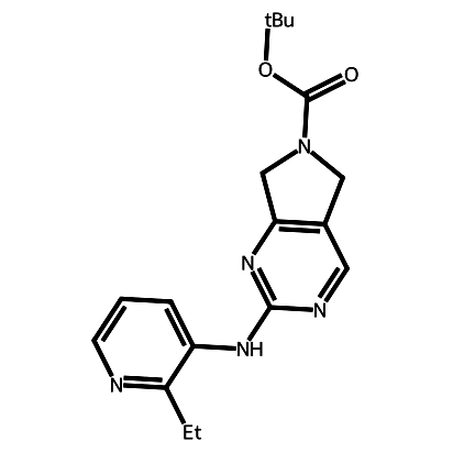 CCc1ncccc1Nc1ncc2c(n1)CN(C(=O)OC(C)(C)C)C2